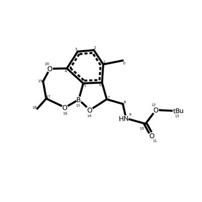 Cc1ccc2c3c1C(CNC(=O)OC(C)(C)C)OB3OC(C)CO2